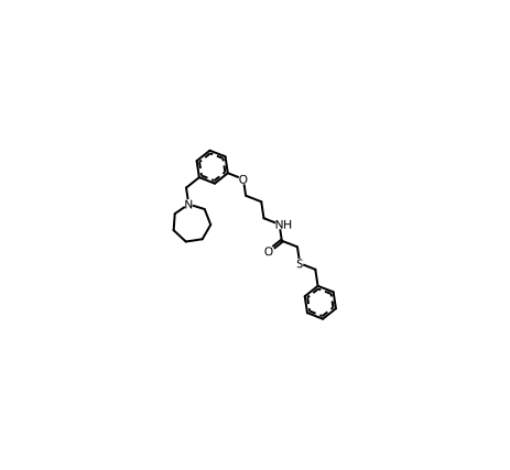 O=C(CSCc1ccccc1)NCCCOc1cccc(CN2CCCCCC2)c1